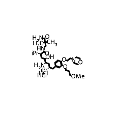 COCCCOc1cc(C[C@@H](C[C@H](N)[C@@H](O)C[C@H](C(=O)NCC(C)(C)C(N)=O)C(C)C)C(C)C)ccc1OCCN1CCOCC1.Cl.Cl